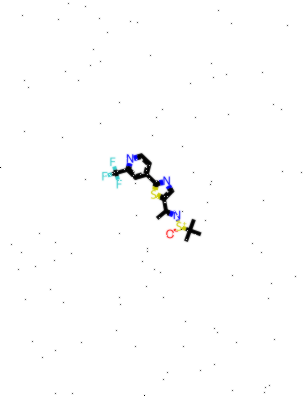 C/C(=N\[S@@+]([O-])C(C)(C)C)c1cnc(-c2ccnc(C(F)(F)F)c2)s1